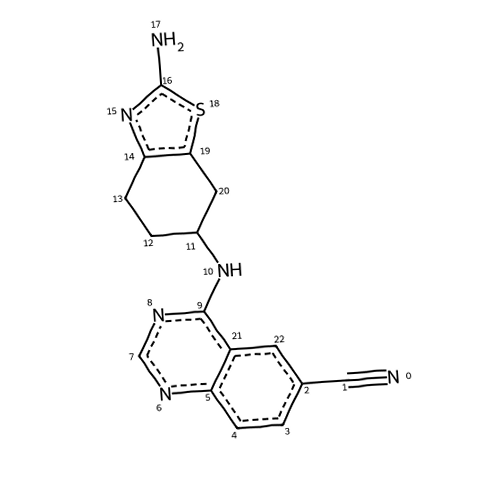 N#Cc1ccc2ncnc(NC3CCc4nc(N)sc4C3)c2c1